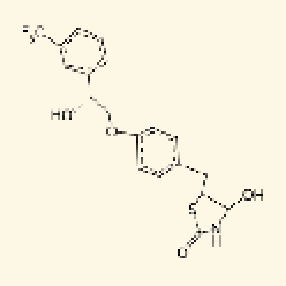 O=C1NC(O)C(Cc2ccc(OC[C@H](O)c3cccc(C(F)(F)F)c3)cc2)S1